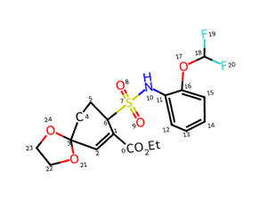 CCOC(=O)C1=CC2(CCC1S(=O)(=O)Nc1ccccc1OC(F)F)OCCO2